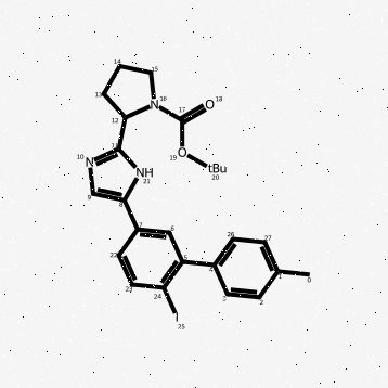 Cc1ccc(-c2cc(-c3cnc(C4CCCN4C(=O)OC(C)(C)C)[nH]3)ccc2I)cc1